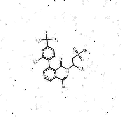 Cc1cc(C(F)(C(F)(F)F)C(F)(F)F)ccc1-c1cccc(C(N)=O)c1C(=O)NC(C)CS(C)(=O)=O